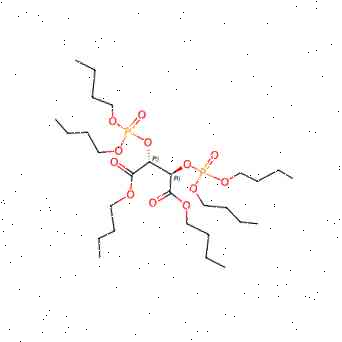 CCCCOC(=O)[C@H](OP(=O)(OCCCC)OCCCC)[C@@H](OP(=O)(OCCCC)OCCCC)C(=O)OCCCC